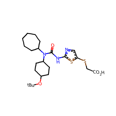 CC(C)(C)OC1CCC(N(C(=O)Nc2ncc(SCC(=O)O)s2)C2CCCCCC2)CC1